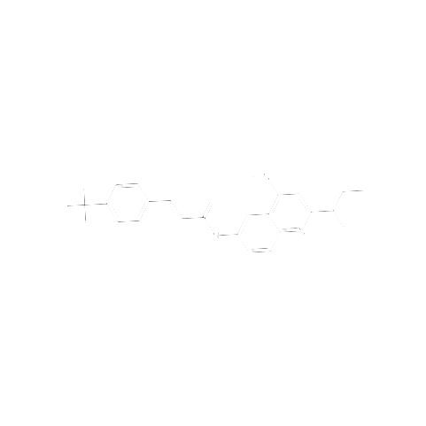 CCC(C)c1cc(N)c2cc(NC(=O)CCc3ccc(C(F)(F)F)cc3)ccc2n1